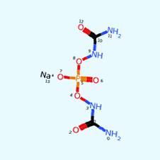 NC(=O)NOP(=O)([O-])ONC(N)=O.[Na+]